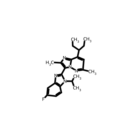 CCC(CC)c1cc(C)nn2c(-c3nc4cc(F)ccc4n3C(C)C)c(C)nc12